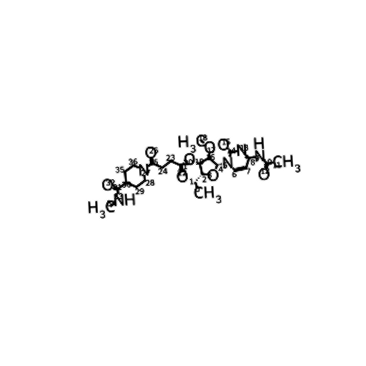 CC[C@H]1O[C@@H](n2ccc(NC(C)=O)nc2=O)C(OC)[C@H]1OC(=O)CCC(=O)N1CCC(C(=O)NC)CC1